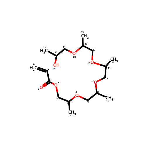 C=CC(=O)OCC(C)OCC(C)OCC(C)OCC(C)OCC(C)O